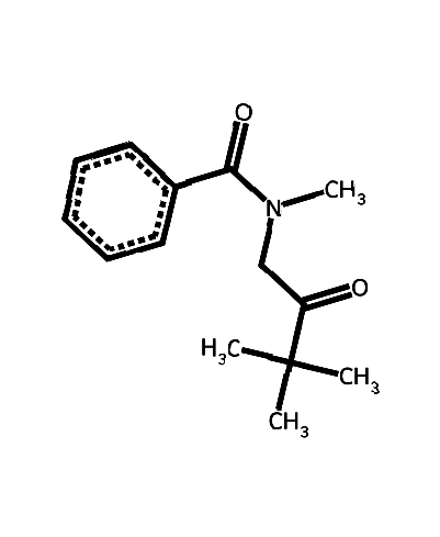 CN(CC(=O)C(C)(C)C)C(=O)c1ccccc1